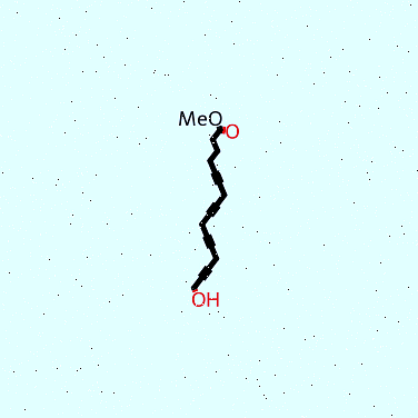 COC(=O)CCCC#CCC#CCC#CCC#CCO